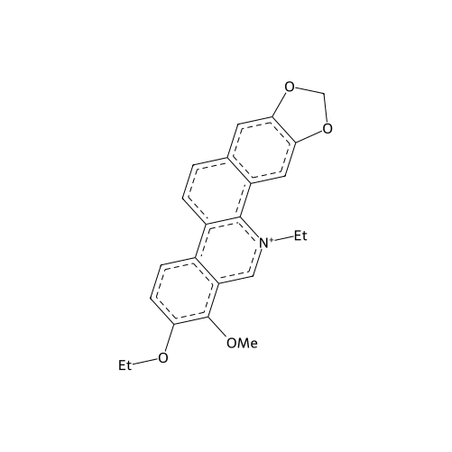 CCOc1ccc2c(c[n+](CC)c3c4cc5c(cc4ccc23)OCO5)c1OC